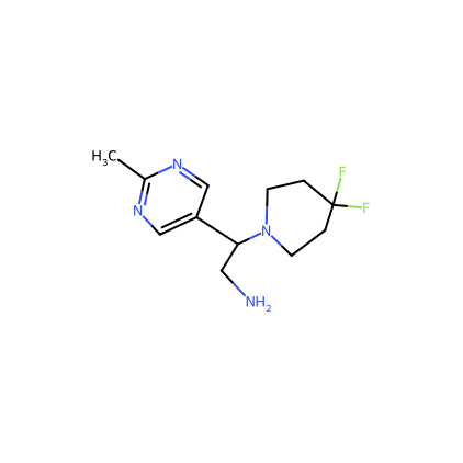 Cc1ncc(C(CN)N2CCC(F)(F)CC2)cn1